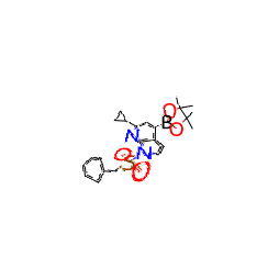 CC1(C)OB(c2cc(C3CC3)nc3c2ccn3S(=O)(=O)Cc2ccccc2)OC1(C)C